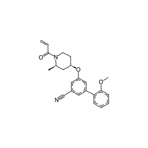 C=CC(=O)N1CC[C@@H](Oc2cc(C#N)cc(-c3ccccc3OC)c2)C[C@H]1C